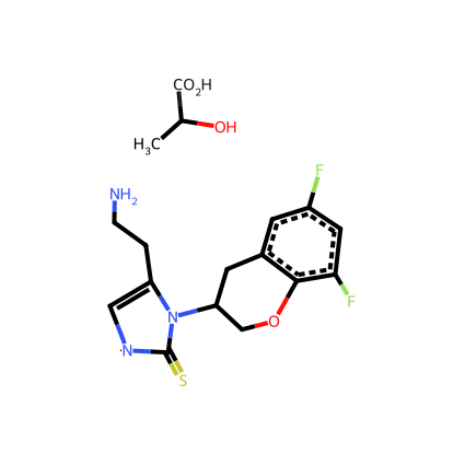 CC(O)C(=O)O.NCCC1=C[N]C(=S)N1C1COc2c(F)cc(F)cc2C1